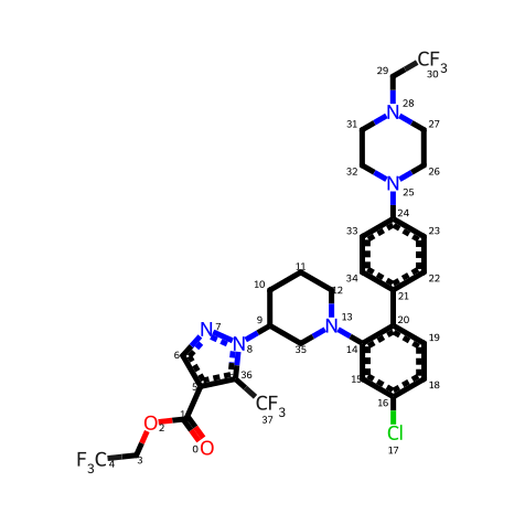 O=C(OCC(F)(F)F)c1cnn(C2CCCN(c3cc(Cl)ccc3-c3ccc(N4CCN(CC(F)(F)F)CC4)cc3)C2)c1C(F)(F)F